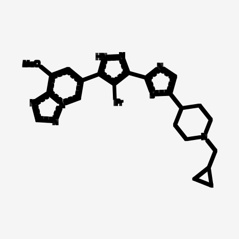 COc1cc(-c2[nH]nc(-c3ncc(C4CCN(CC5CC5)CC4)s3)c2C(C)C)cn2ncnc12